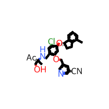 CC(=O)[C@](C)(CO)NCc1cc(Cl)c(O[C@H]2CCc3c(C)cccc32)cc1OCc1cncc(C#N)c1